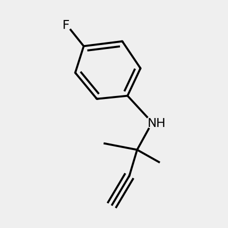 C#CC(C)(C)Nc1ccc(F)cc1